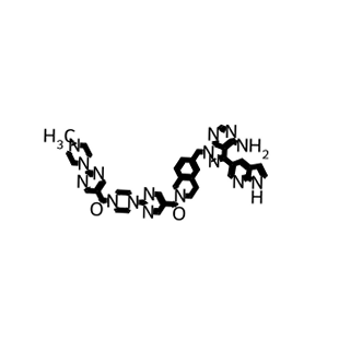 CN1CCN(c2ncc(C(=O)N3CCN(c4ncc(C(=O)N5CCc6cc(Cn7nc(-c8cnc9[nH]ccc9c8)c8c(N)ncnc87)ccc6C5)cn4)CC3)cn2)CC1